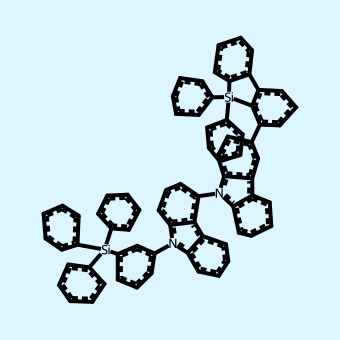 c1ccc([Si](c2ccccc2)(c2ccccc2)c2cccc(-n3c4ccccc4c4c(-n5c6ccccc6c6cc(-c7cccc8c7[Si](c7ccccc7)(c7ccccc7)c7ccccc7-8)ccc65)cccc43)c2)cc1